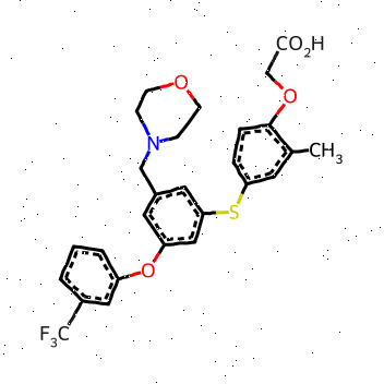 Cc1cc(Sc2cc(CN3CCOCC3)cc(Oc3cccc(C(F)(F)F)c3)c2)ccc1OCC(=O)O